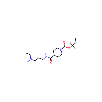 CCN(C)CCCNC(=O)C1CCN(C(=O)OC(C)(C)CC)CC1